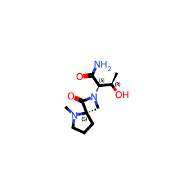 C[C@@H](O)[C@@H](C(N)=O)N1C[C@@]2(CCCN2C)C1=O